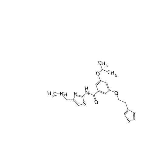 CNCc1csc(NC(=O)c2cc(OCCc3ccsc3)cc(OC(C)C)c2)n1